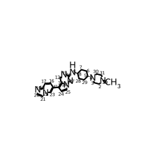 CN1CCN([C@H]2CC[C@H](Nc3ncc4c(-c5ccc6nccn6c5)ccn4n3)CC2)CC1